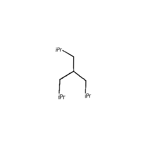 [CH2]C(C)CC(CC(C)C)CC(C)C